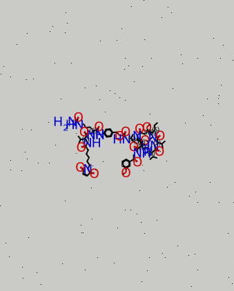 CC[C@H](C)[C@@H]([C@@H](CC(=O)N1C[C@@H](NC(=O)OCc2ccc(NC(=O)[C@H](CCCNC(N)=O)NC(=O)[C@@H](NC(=O)CCCCCN3C(=O)C=CC3=O)C(C)C)cc2)C[C@H]1[C@H](OC)[C@@H](C)C(=O)NCC(=O)c1cccc(OC)c1)OC)N(C)C(=O)[C@@H](NC(=O)[C@H](C(C)C)N(C)C)C(C)C